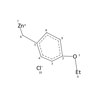 CCOc1ccc([CH2][Zn+])cc1.[Cl-]